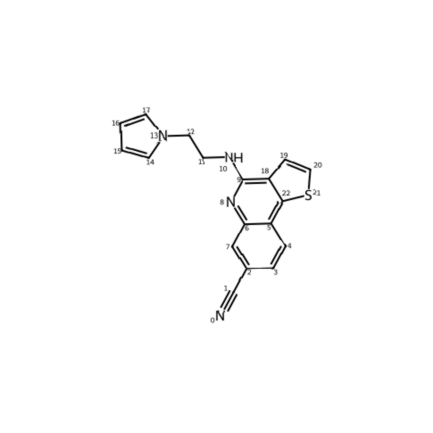 N#Cc1ccc2c(c1)nc(NCCn1cccc1)c1ccsc12